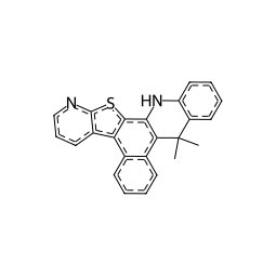 CC1(C)c2ccccc2Nc2c1c1ccccc1c1c2sc2ncccc21